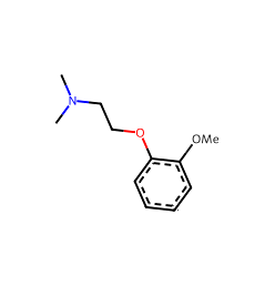 COc1c[c]ccc1OCCN(C)C